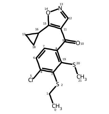 CCSc1c(Cl)ccc(C(=O)c2cnoc2C2CC2)c1SC